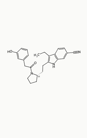 CCc1c(CC[C@@H]2CCCN2C(=O)Cc2cccc(O)c2)[nH]c2cc(C#N)ccc12